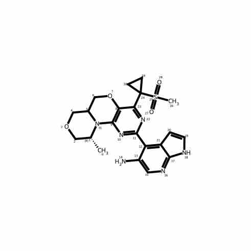 C[C@@H]1COCC2COc3c(nc(-c4c(N)cnc5[nH]ccc45)nc3C3(S(C)(=O)=O)CC3)N21